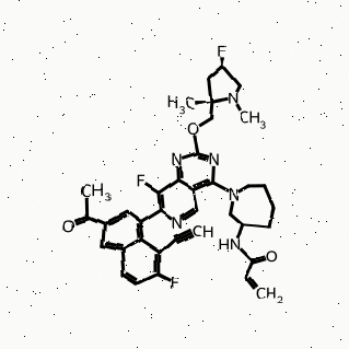 C#Cc1c(F)ccc2cc(C(C)=O)cc(-c3ncc4c(N5CCCCC(NC(=O)C=C)C5)nc(OC[C@]5(C)C[C@@H](F)CN5C)nc4c3F)c12